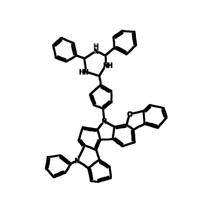 c1ccc(C2NC(c3ccccc3)NC(c3ccc(-n4c5ccc6c(c7ccccc7n6-c6ccccc6)c5c5ccc6c7ccccc7oc6c54)cc3)N2)cc1